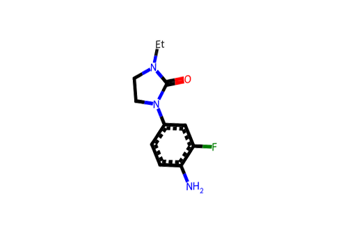 CCN1CCN(c2ccc(N)c(F)c2)C1=O